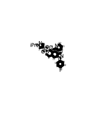 CC(C)n1cc(S(=O)(=O)N2CCC3=Cc4c(cnn4-c4ccc(F)cc4)C[C@]3(C(=O)c3ccccn3)C2)cn1